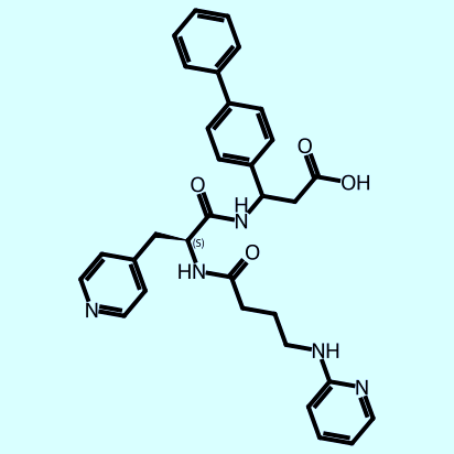 O=C(O)CC(NC(=O)[C@H](Cc1ccncc1)NC(=O)CCCNc1ccccn1)c1ccc(-c2ccccc2)cc1